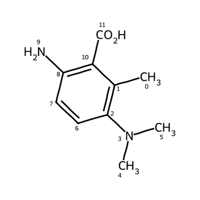 Cc1c(N(C)C)ccc(N)c1C(=O)O